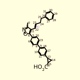 Cc1noc(-c2ccc(-c3ccc(C4CC4C(=O)O)cc3)cc2)c1/C=C/CCc1ccccc1